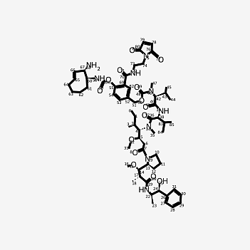 CC[C@H](C)[C@@H]([C@@H](CC(=O)N1CCC[C@H]1[C@H](OC)[C@@H](C)C(=O)N[C@H](C)[C@@H](O)c1ccccc1)OC)N(C)C(=O)[C@@H](NC(=O)[C@H](C(C)C)N(C)C(=O)OCc1ccc(OC(=O)N[C@H]2CCCC/C=C/[C@@H]2N)c(C(=O)NCCN2C(=O)C=CC2=O)c1)C(C)C